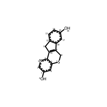 Oc1cnc2c(c1)SCC1=C2Cc2ccc(O)cc21